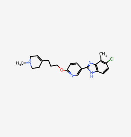 Cc1c(Cl)ccc2[nH]c(-c3ccc(OCCCC4=CCN(C)CC4)nc3)nc12